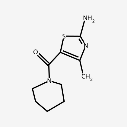 Cc1nc(N)sc1C(=O)N1CCCCC1